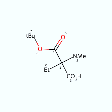 CCC(NC)(C(=O)O)C(=O)OC(C)(C)C